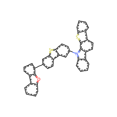 c1ccc2c(c1)oc1c(-c3ccc4c(c3)sc3ccc(-n5c6ccccc6c6ccc7c8ccccc8sc7c65)cc34)cccc12